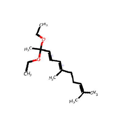 CCOC(C)(/C=C/C=C(\C)CCC=C(C)C)OCC